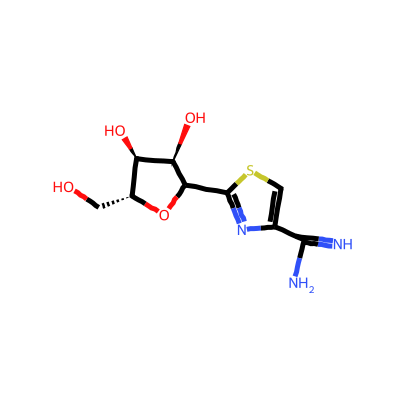 N=C(N)c1csc(C2O[C@H](CO)[C@@H](O)[C@H]2O)n1